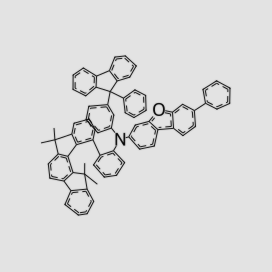 CC1(C)c2cccc(-c3ccccc3N(c3cccc(C4(c5ccccc5)c5ccccc5-c5ccccc54)c3)c3ccc4c(c3)oc3cc(-c5ccccc5)ccc34)c2-c2c1ccc1c2C(C)(C)c2ccccc2-1